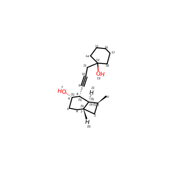 C[C@H]1C[C@@H]2CC[C@H](O)[C@H](C#CCC3(O)CCCCC3)[C@H]21